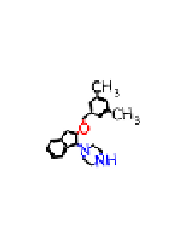 Cc1cc(C)cc(CO[C@@H]2Cc3ccccc3[C@@H]2N2CCNCC2)c1